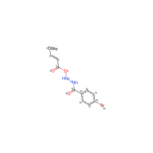 COC=CC(=O)ONNC(=O)c1ccc(Br)cc1